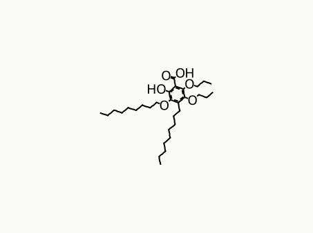 CCCCCCCCCOc1c(O)c(C(=O)O)c(OCCC)c(OCCC)c1CCCCCCCCC